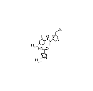 Cc1ncc(C(=O)Nc2cc(C(=O)Nc3cncc(CC4CC4)n3)c(F)cc2C)s1